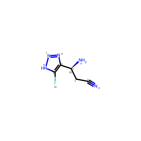 N#CC[C@H](N)c1nn[nH]c1F